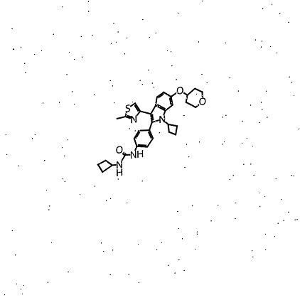 Cc1nc(-c2c(-c3ccc(NC(=O)NC4CCC4)cc3)n(C3CCC3)c3cc(OC4CCOCC4)ccc23)cs1